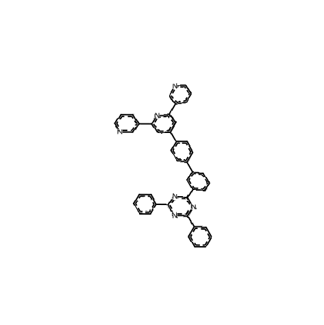 c1ccc(-c2nc(-c3ccccc3)nc(-c3cccc(-c4ccc(-c5cc(-c6cccnc6)nc(-c6cccnc6)c5)cc4)c3)n2)cc1